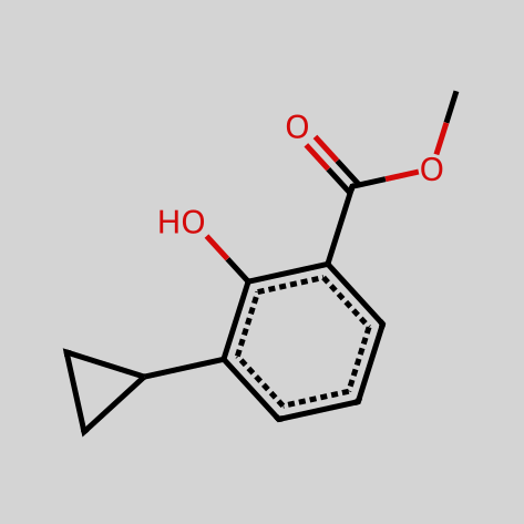 COC(=O)c1cccc(C2CC2)c1O